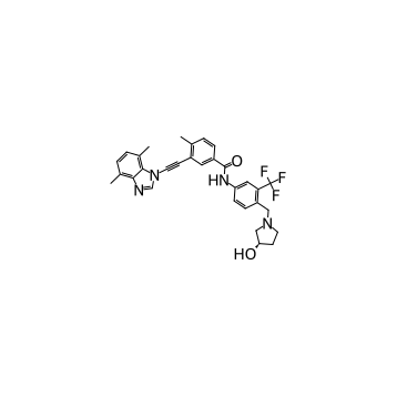 Cc1ccc(C(=O)Nc2ccc(CN3CC[C@@H](O)C3)c(C(F)(F)F)c2)cc1C#Cn1cnc2c(C)ccc(C)c21